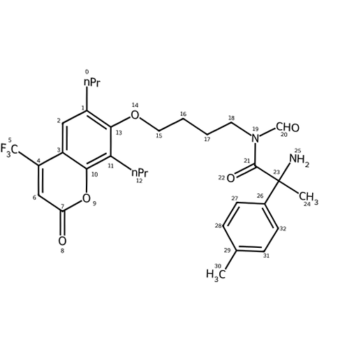 CCCc1cc2c(C(F)(F)F)cc(=O)oc2c(CCC)c1OCCCCN(C=O)C(=O)C(C)(N)c1ccc(C)cc1